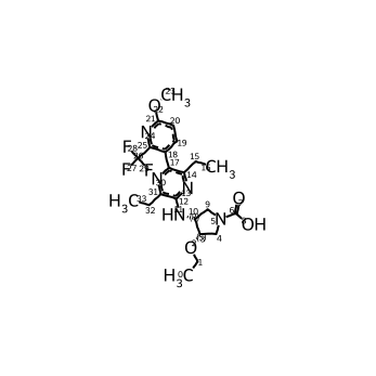 CCO[C@H]1CN(C(=O)O)C[C@H]1Nc1nc(CC)c(-c2ccc(OC)nc2C(F)(F)F)nc1CC